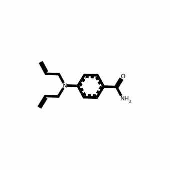 C=CCN(CC=C)c1ccc(C(N)=O)cc1